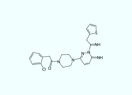 N=C(Cc1cccs1)n1nc(N2CCN(C(=O)Cc3ccccc3Cl)CC2)ccc1=N